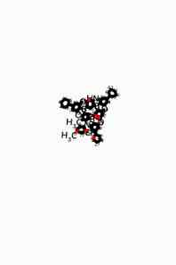 Cc1cc(C)c(N2c3cc4c(cc3B3c5ccccc5Oc5cc(C6CCCCC6)cc2c53)B2c3cc5c(cc3Oc3cc(C6CCCCC6)cc(c32)O4)Nc2cc(C3CCCCC3)cc3c2B5c2ccccc2O3)c(C)c1